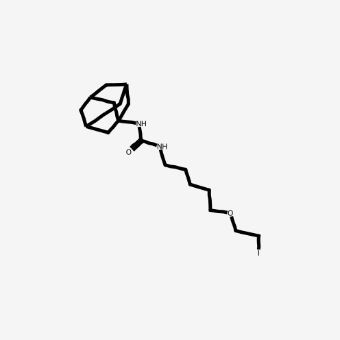 O=C(NCCCCCOCCI)NC12CC3CC(CC(C3)C1)C2